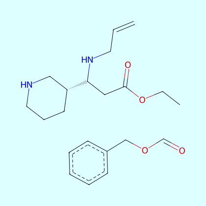 C=CCNC(CC(=O)OCC)[C@@H]1CCCNC1.O=COCc1ccccc1